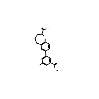 CNC(=O)c1cc(F)cc(-c2ccc3c(c2)CCCC(C(=O)O)O3)c1